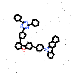 c1ccc(-c2nc(-c3ccccc3)nc(-c3ccc(-c4cccc5oc6cc(-c7ccc(-n8c9ccccc9c9cc%10ccccc%10cc98)cc7)ccc6c45)cc3)n2)cc1